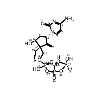 C=C1[C@@H](n2ccc(N)nc2=O)C[C@H](O)[C@@]1(CF)COP(=O)(O)OP(=O)(O)OP(=O)(O)O